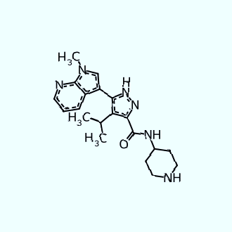 CC(C)c1c(C(=O)NC2CCNCC2)n[nH]c1-c1cn(C)c2ncccc12